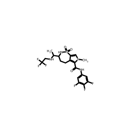 CC(NCC(F)(F)F)C1CCc2c(cn(C)c2C(=O)Nc2cc(F)c(F)c(F)c2)S(=O)(=O)N1